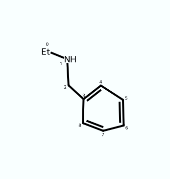 [CH2]CNCc1ccccc1